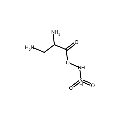 NCC(N)C(=O)ON[SH](=O)=O